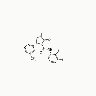 O=C1NCC(c2cccc(C(F)(F)F)c2)C1C(=O)Nc1cccc(F)c1F